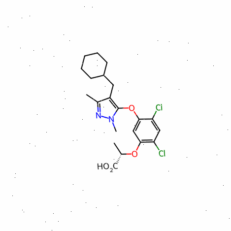 Cc1nn(C)c(Oc2cc(O[C@@H](C)C(=O)O)c(Cl)cc2Cl)c1CC1CCCCC1